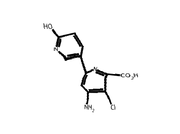 Nc1cc(-c2ccc(O)nc2)nc(C(=O)O)c1Cl